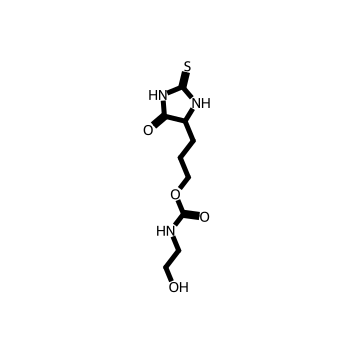 O=C(NCCO)OCCCC1NC(=S)NC1=O